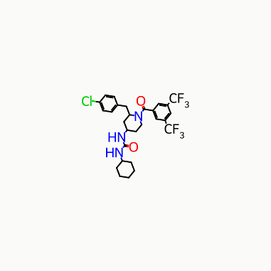 O=C(NC1CCCCC1)NC1CCN(C(=O)c2cc(C(F)(F)F)cc(C(F)(F)F)c2)C(Cc2ccc(Cl)cc2)C1